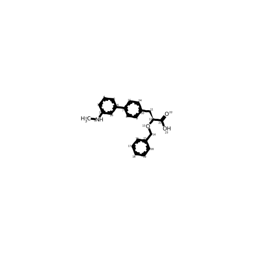 CNc1cccc(-c2ccc(C[C@H](OCc3ccccc3)C(=O)O)cc2)c1